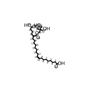 O=C(O)CCCCCCC/C=C\CCCCCCCCC(CCCC(=O)O)C(=O)OCC(CO)(CO)CO